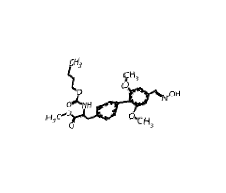 CCCCOC(=O)NC(Cc1ccc(-c2c(OC)cc(C=NO)cc2OC)cc1)C(=O)OC